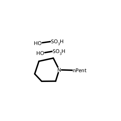 CCCCCN1CCCCC1.O=S(=O)(O)O.O=S(=O)(O)O